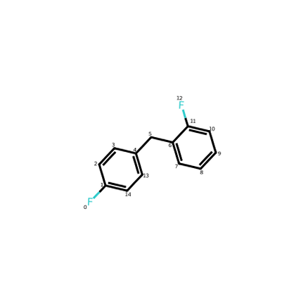 Fc1ccc(Cc2ccccc2F)cc1